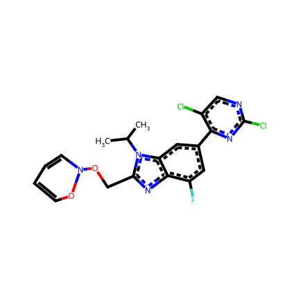 CC(C)n1c(CON2C=CC=CO2)nc2c(F)cc(-c3nc(Cl)ncc3Cl)cc21